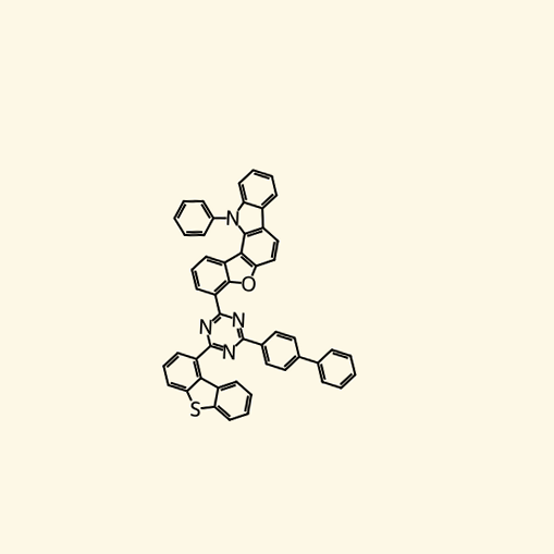 c1ccc(-c2ccc(-c3nc(-c4cccc5c4oc4ccc6c7ccccc7n(-c7ccccc7)c6c45)nc(-c4cccc5sc6ccccc6c45)n3)cc2)cc1